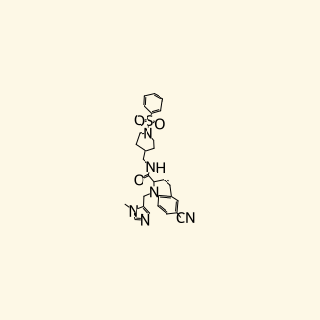 Cn1cncc1CN1c2ccc(C#N)cc2C[CH]C1C(=O)NCC1CCN(S(=O)(=O)c2ccccc2)CC1